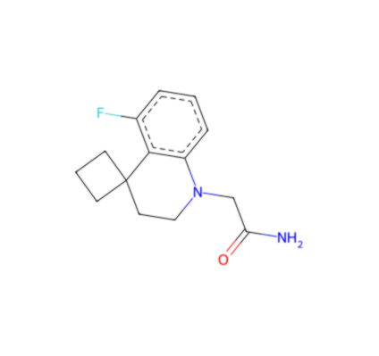 NC(=O)CN1CCC2(CCC2)c2c(F)cccc21